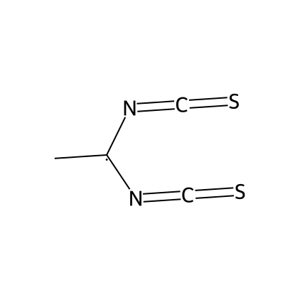 C[C](N=C=S)N=C=S